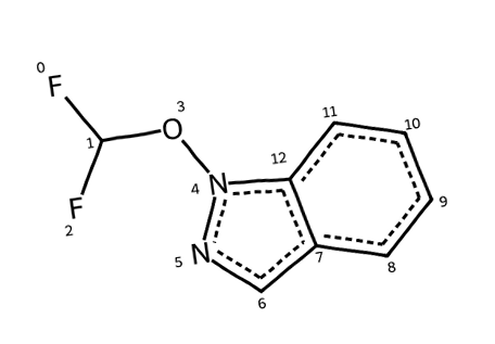 FC(F)On1ncc2ccccc21